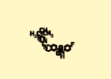 CC(C)(C)c1cnc(CN2CCc3cc(S(=O)(=O)Nc4ccc(F)cc4)ccc3C2)cn1